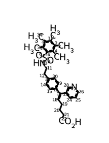 Cc1c(C)c(C)c(S(=O)(=O)NCCc2ccc(/C(=C/CCCC(=O)O)c3cccnc3)cc2)c(C)c1C